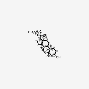 C[C@]12CC[C@H]3[C@@H](CC[C]4([Na])C[C@@H](O)CC[C@]34C)[C@@H]1CC[C@@H]2[C@](C)(O)OS(=O)(=O)O